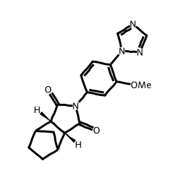 COc1cc(N2C(=O)[C@@H]3C4CCC(C4)[C@@H]3C2=O)ccc1-n1cncn1